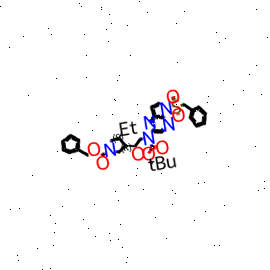 CC[C@@H]1CN(C(=O)OCc2ccccc2)C[C@@H]1C(=O)CN(C(=O)OC(C)(C)C)c1cnc2c(ccn2S(=O)(=O)Cc2ccccc2)n1